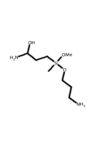 CO[Si](C)(CCC(N)O)OCCCN